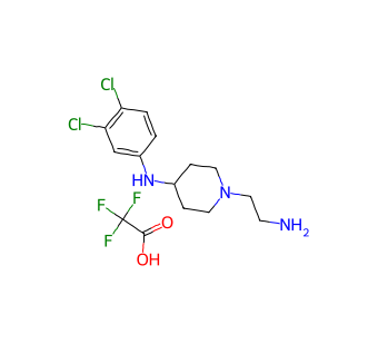 NCCN1CCC(Nc2ccc(Cl)c(Cl)c2)CC1.O=C(O)C(F)(F)F